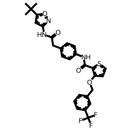 CC(C)(C)c1cc(NC(=O)Cc2ccc(NC(=O)c3sccc3OCc3cccc(C(F)(F)F)c3)cc2)no1